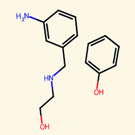 Nc1cccc(CNCCO)c1.Oc1ccccc1